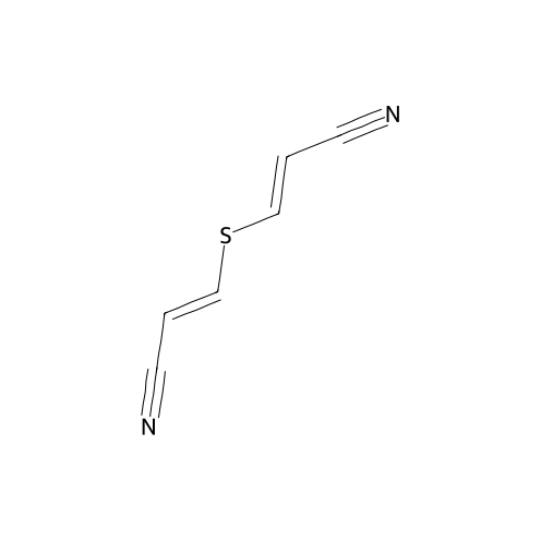 N#CC=CSC=CC#N